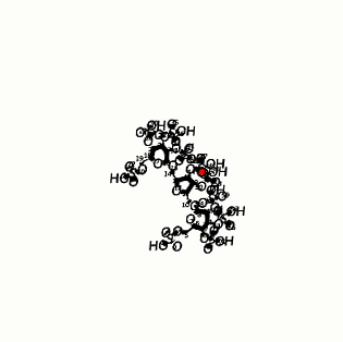 O=S(=O)(O)OC[C@H]1O[C@@H](OC[C@@H]2O[C@H](CO[C@@H]3O[C@H](COS(=O)(=O)O)[C@H](OS(=O)(=O)O)[C@H](OS(=O)(=O)O)[C@H]3OS(=O)(=O)O)[C@H](OS(=O)(=O)O)[C@H]2OS(=O)(=O)O)[C@H](OS(=O)(=O)O)[C@@H](OS(=O)(=O)O)[C@H]1OS(=O)(=O)O